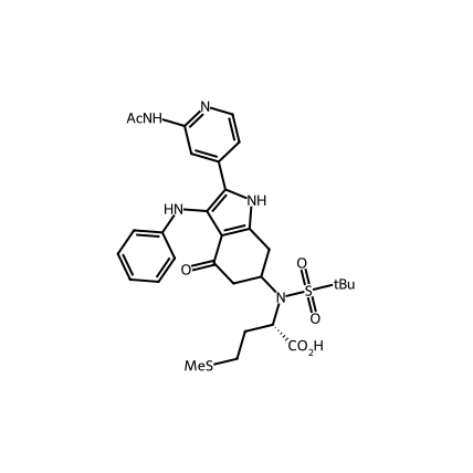 CSCC[C@@H](C(=O)O)N(C1CC(=O)c2c([nH]c(-c3ccnc(NC(C)=O)c3)c2Nc2ccccc2)C1)S(=O)(=O)C(C)(C)C